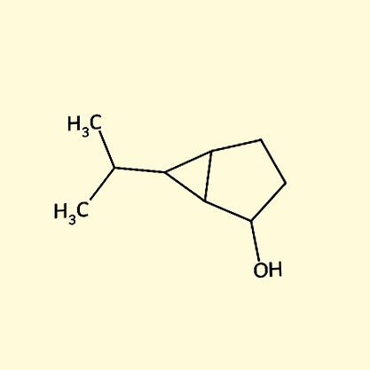 CC(C)C1C2CCC(O)C21